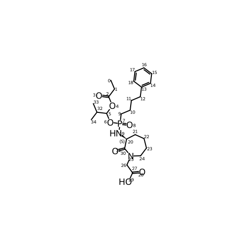 CCC(=O)OC(OP(=O)(CCCCc1ccccc1)N[C@H]1CCCCN(CC(=O)O)C1=O)C(C)C